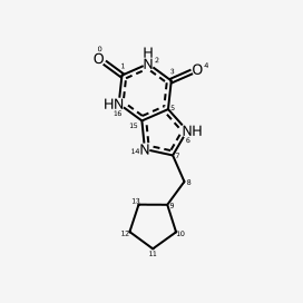 O=c1[nH]c(=O)c2[nH]c(CC3CCCC3)nc2[nH]1